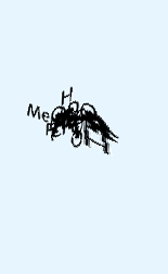 COc1ccc(F)c(F)c1COc1cc(-n2c(=O)[nH]c3c(OC)nc(C(F)F)nc32)c(Cl)cc1OCCO